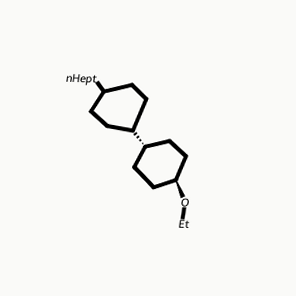 CCCCCCCC1CCC([C@H]2CC[C@H](OCC)CC2)CC1